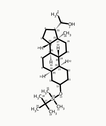 CC(O)[C@H]1CC[C@H]2[C@@H]3CC[C@@H]4CC(O[Si](C)(C)C(C)(C)C)CC[C@@H]4[C@H]3CC[C@]12C